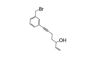 C=CC(O)CCC#Cc1cccc(CBr)c1